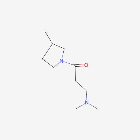 CC1CCN(C(=O)CCN(C)C)C1